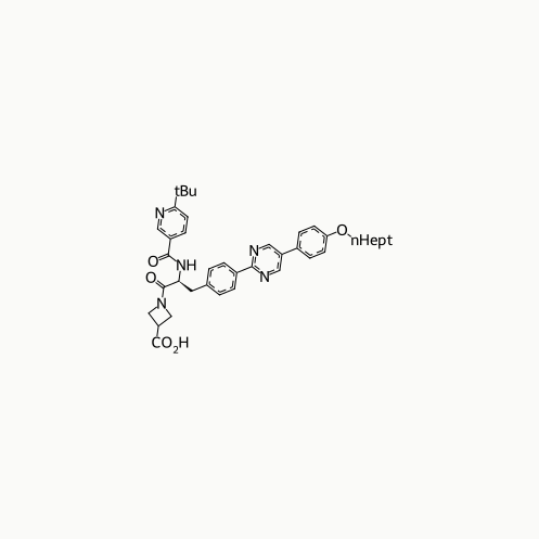 CCCCCCCOc1ccc(-c2cnc(-c3ccc(C[C@H](NC(=O)c4ccc(C(C)(C)C)nc4)C(=O)N4CC(C(=O)O)C4)cc3)nc2)cc1